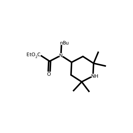 CCCCN(C(=O)C(=O)OCC)C1CC(C)(C)NC(C)(C)C1